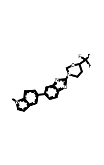 Cn1ccc2cc(-c3ccc4oc(N5CCC(C(F)(F)F)CC5)nc4c3)ccc21